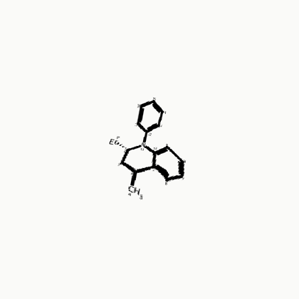 CC[C@H]1CC(C)c2ccccc2N1c1ccccc1